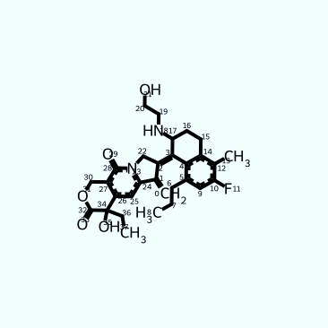 C=C1/C(=C2\c3c(CCC)cc(F)c(C)c3CCC2NCCO)Cn2c1cc1c(c2=O)COC(=O)C1(O)CC